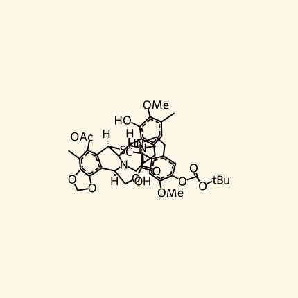 COc1cc2c(cc1OC(=O)OC(C)(C)C)CCN[C@]21CS[C@@H]2c3c(OC(C)=O)c(C)c4c(c3[C@H](COC1=O)N1C2[C@@H]2c3c(cc(C)c(OC)c3O)CC([C@@H]1O)N2C)OCO4